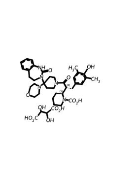 Cc1cc(C[C@@H](C(=O)N2CCC(N3CCOCC3)(N3CCc4ccccc4NC3=O)CC2)[C@@H]2CCCCN2C(=O)O)cc(C)c1O.O=C(O)C(O)C(O)C(=O)O